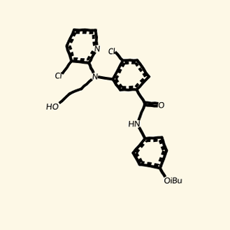 CC(C)COc1ccc(NC(=O)c2ccc(Cl)c(N(CCO)c3ncccc3Cl)c2)cc1